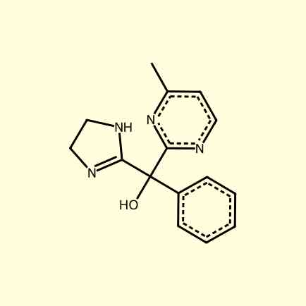 Cc1ccnc(C(O)(C2=NCCN2)c2ccccc2)n1